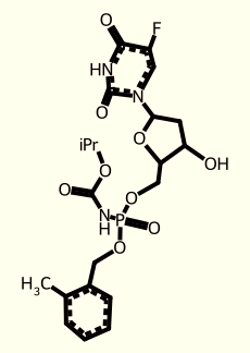 Cc1ccccc1COP(=O)(NC(=O)OC(C)C)OCC1OC(n2cc(F)c(=O)[nH]c2=O)CC1O